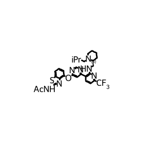 CC(=O)Nc1nc2c(Oc3cc(-c4ccc(C(F)(F)F)nc4NC[C@@H]4CCCCN4CC(C)C)ncn3)cccc2s1